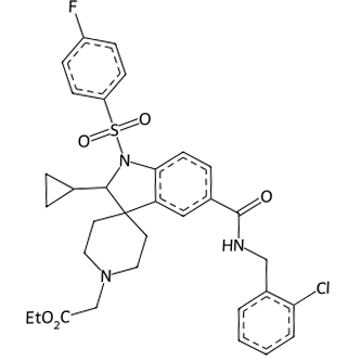 CCOC(=O)CN1CCC2(CC1)c1cc(C(=O)NCc3ccccc3Cl)ccc1N(S(=O)(=O)c1ccc(F)cc1)C2C1CC1